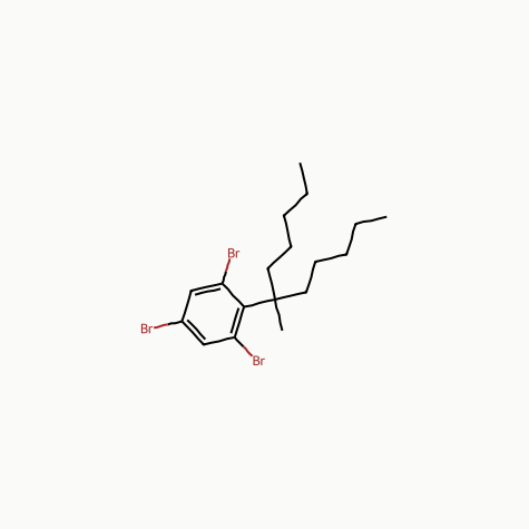 CCCCCC(C)(CCCCC)c1c(Br)cc(Br)cc1Br